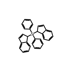 C1=CC([Si](c2ccccc2)(c2ccccc2)C2C=Cc3ccccc32)c2ccccc21